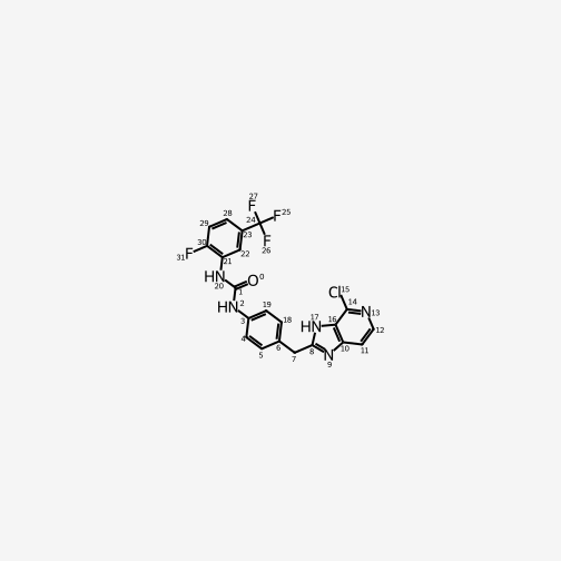 O=C(Nc1ccc(Cc2nc3ccnc(Cl)c3[nH]2)cc1)Nc1cc(C(F)(F)F)ccc1F